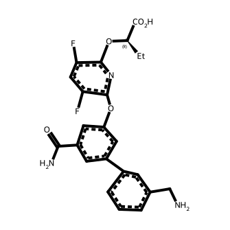 CC[C@@H](Oc1nc(Oc2cc(C(N)=O)cc(-c3cccc(CN)c3)c2)c(F)cc1F)C(=O)O